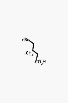 C.CCCCCCCC(=O)O